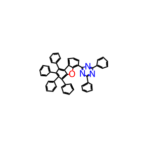 c1ccc(-c2nc(-c3ccccc3)nc(-c3cccc4c3oc3c(-c5ccccc5)c(-c5ccccc5)c(-c5ccccc5)c(-c5ccccc5)c34)n2)cc1